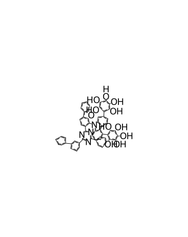 Oc1c(O)c(O)c(-c2ccc3c4c(-c5c(O)c(O)c(O)c(O)c5O)cccc4n(-c4c(-c5nc(-c6ccccc6)nc(-c6cccc(-c7ccccc7)c6)n5)ccc5c4oc4ccccc45)c3c2)c(O)c1O